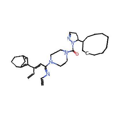 C=C/N=C(\C=C(/C=C)C1=C2CCCC(=C1)C2)N1CCN(C(=O)N2N=CCC2C2CCCCCCCCC2)CC1